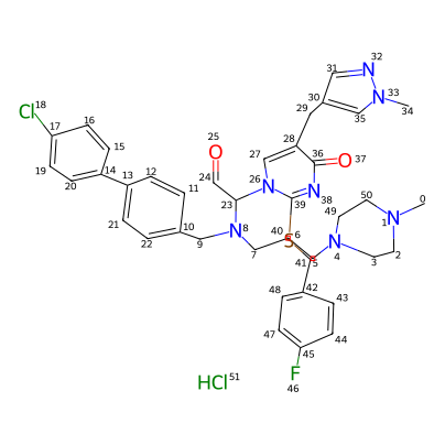 CN1CCN(CCCN(Cc2ccc(-c3ccc(Cl)cc3)cc2)C(C=O)n2cc(Cc3cnn(C)c3)c(=O)nc2SCc2ccc(F)cc2)CC1.Cl